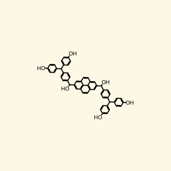 Oc1ccc(C(c2ccc(O)cc2)c2ccc(C(O)c3cc4ccc5cc(C(O)c6ccc(C(c7ccc(O)cc7)c7ccc(O)cc7)cc6)cc6ccc(c3)c4c56)cc2)cc1